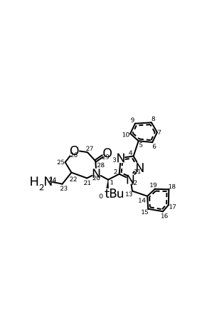 CC(C)(C)[C@H](c1nc(-c2ccccc2)nn1Cc1ccccc1)N1CC(CN)COCC1=O